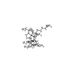 CC(=O)C1CCN(C(=O)C(C)(N)N)C1(C(=O)C(N)CCCCN)C(=O)C(N)CC(C)C